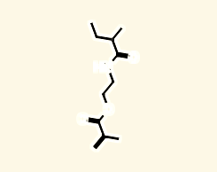 C=C(C)C(=O)OCCNC(=O)C(C)CC